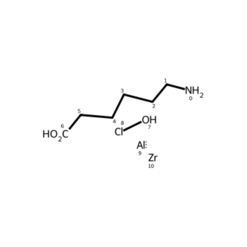 NCCCCCC(=O)O.OCl.[Al].[Zr]